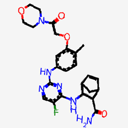 Cc1ccc(Nc2ncc(F)c(NC3C4C=CC(C4)C3C(N)=O)n2)cc1OCC(=O)N1CCOCC1